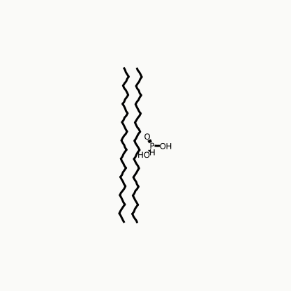 CCCCCCCCCCCCCCCCCC.CCCCCCCCCCCCCCCCCC.O=[PH](O)O